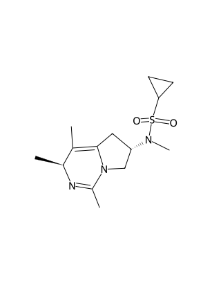 CC1=N[C@@H](C)C(C)=C2C[C@H](N(C)S(=O)(=O)C3CC3)CN12